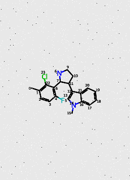 Cc1ccc(F)c(C2[N]CCC2c2cn(C)c3ccccc23)c1Cl